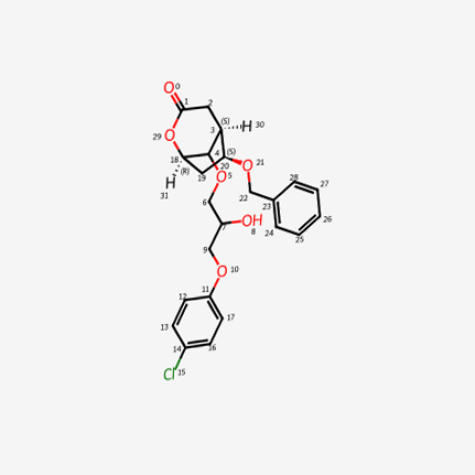 O=C1C[C@@H]2C(OCC(O)COc3ccc(Cl)cc3)[C@@H](C[C@@H]2OCc2ccccc2)O1